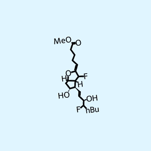 CCCCC(F)[C@H](O)/C=C/[C@@H]1[C@H]2C(F)/C(=C/CCCC(=O)OC)O[C@@H]2C[C@H]1O